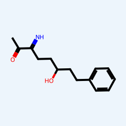 CC(=O)C(=N)CCC(O)CCc1ccccc1